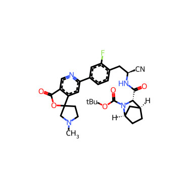 CN1CCC2(C1)OC(=O)c1cnc(-c3ccc(C[C@@H](C#N)NC(=O)[C@@H]4[C@H]5CC[C@H](C5)N4C(=O)OC(C)(C)C)c(F)c3)cc12